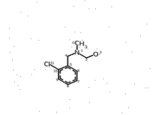 CN(C[O])Cc1ccccc1Cl